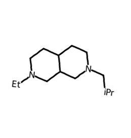 CCN1CCC2CCN(CC(C)C)CC2C1